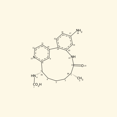 C[C@@H]1CCC[C@H](NC(=O)O)c2cc(ccn2)-c2ccc(N)cc2NC1=O